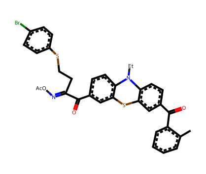 CCN1c2ccc(C(=O)/C(CCSc3ccc(Br)cc3)=N/OC(C)=O)cc2Sc2cc(C(=O)c3ccccc3C)ccc21